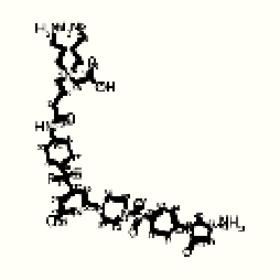 NCCC[N+](CCCN)(CCCC(=O)NC1CCC(C(F)(F)c2cc(Cl)nc(N3CCN(S(=O)(=O)c4ccc(N5C[C@H](N)CC5=O)cc4)CC3)c2)CC1)CC(=O)O